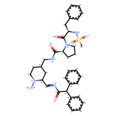 CS(=O)(=O)N[C@H](Cc1ccccc1)C(=O)N1CCC[C@H]1C(=O)NCC1CCN(N)C(C=NC(=O)C(c2ccccc2)c2ccccc2)C1